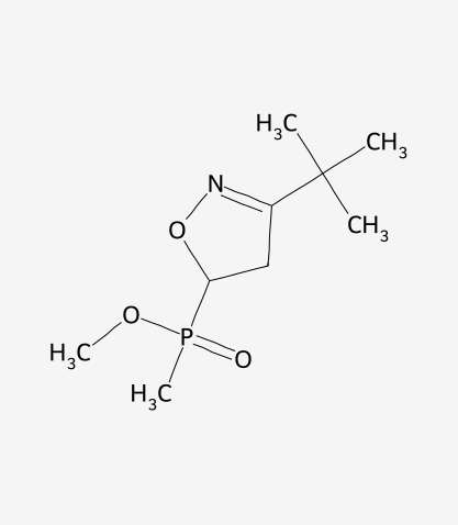 COP(C)(=O)C1CC(C(C)(C)C)=NO1